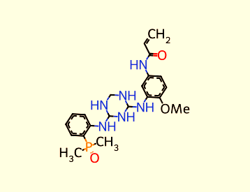 C=CC(=O)Nc1ccc(OC)c(NC2NCNC(Nc3ccccc3P(C)(C)=O)N2)c1